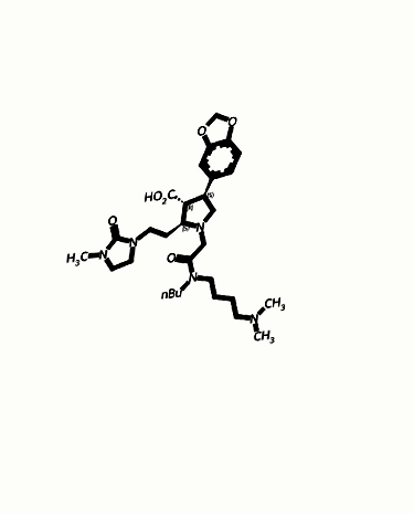 CCCCN(CCCCN(C)C)C(=O)CN1C[C@H](c2ccc3c(c2)OCO3)[C@@H](C(=O)O)[C@@H]1CCN1CCN(C)C1=O